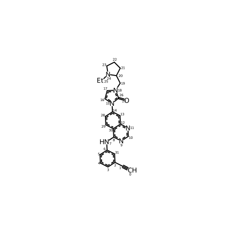 C#Cc1cccc(Nc2ncnc3cc(-n4ccn(CC5CCCN5CC)c4=O)ccc23)c1